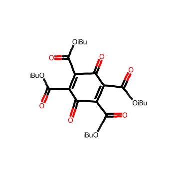 CC(C)COC(=O)C1=C(C(=O)OCC(C)C)C(=O)C(C(=O)OCC(C)C)=C(C(=O)OCC(C)C)C1=O